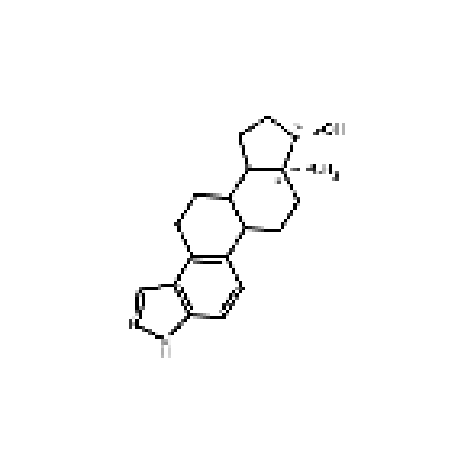 C[C@]12CCC3c4ccc5[nH]ncc5c4CCC3C1CC[C@@H]2O